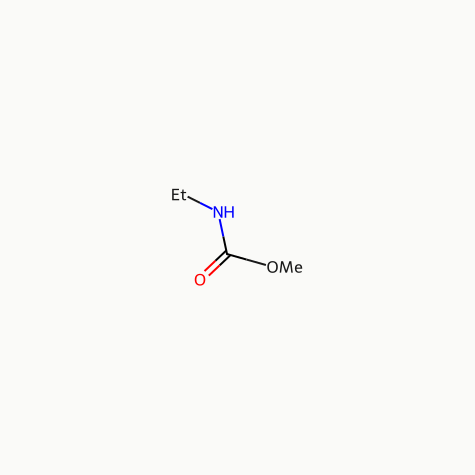 [CH2]CNC(=O)OC